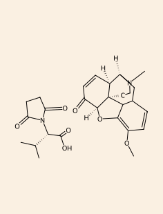 CC(C)[C@@H](C(=O)O)N1C(=O)CCC1=O.COC1=C2O[C@H]3C(=O)C=C[C@H]4[C@H]5CC(C=C1)C2[C@@]34CCN5C